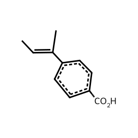 CC=C(C)c1ccc(C(=O)O)cc1